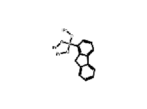 CC(C)O[Si](OC(C)C)(OC(C)C)c1cccc2c1Cc1ccccc1-2